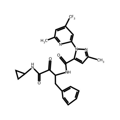 Cc1cc(C(F)(F)F)cc(-n2nc(C)cc2C(=O)NC(Cc2ccccc2)C(=O)C(=O)NC2CC2)n1